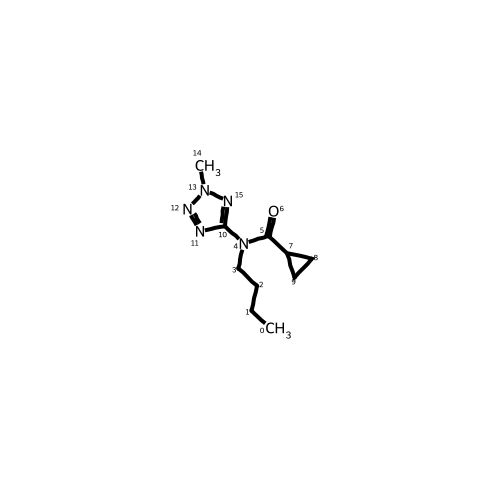 CCCCN(C(=O)C1CC1)c1nnn(C)n1